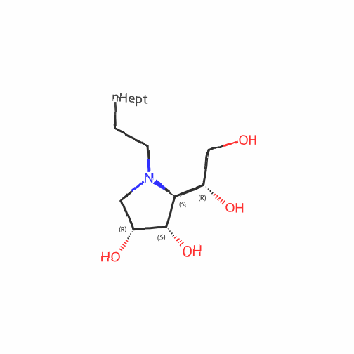 CCCCCCCCCN1C[C@@H](O)[C@@H](O)[C@@H]1[C@@H](O)CO